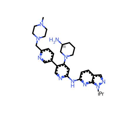 CC(C)n1ncc2ccc(Nc3cc(N4CCC[C@H](N)C4)c(-c4ccc(CN5CCN(C)CC5)nc4)cn3)nc21